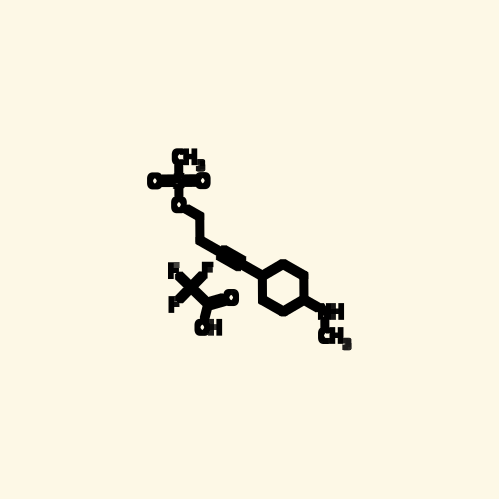 CNC1CCC(C#CCCOS(C)(=O)=O)CC1.O=C(O)C(F)(F)F